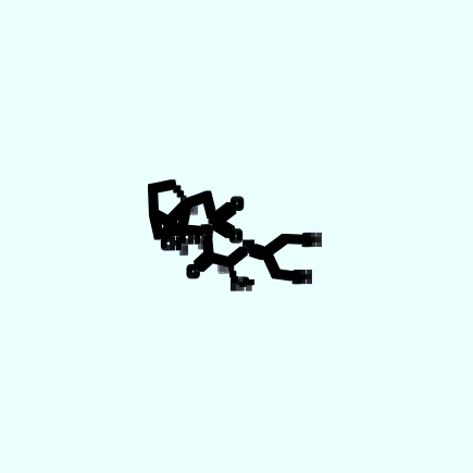 CCC[C@@H](N=C(CS)CS)C(=O)N1C2CC3CC[C@@]2(CS1(=O)=O)C3(C)C